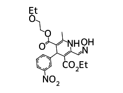 CCOCCOC(=O)C1=C(C)NC(/C=N\O)=C(C(=O)OCC)C1c1cccc([N+](=O)[O-])c1